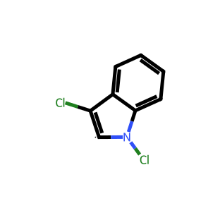 Clc1[c]n(Cl)c2ccccc12